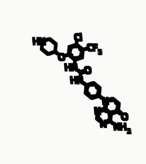 Nc1ncnc2c1c(=O)ccn2-c1ccc(NC(=O)Nc2cc(C(F)(F)F)c(Cl)cc2OC2CCNCC2)cc1